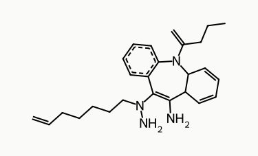 C=CCCCCCN(N)C1=C(N)C2C=CC=CC2N(C(=C)CCC)c2ccccc21